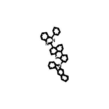 c1ccc(-c2nc(-c3ccc4c5c(cccc35)-c3cccc(-n5c6ccccc6c6cc7ccccc7cc65)c3S4)nc3ccccc23)cc1